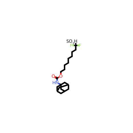 O=C(NC12CC3CC(CC(C3)C1)C2)OCCCCCCCCC(F)(F)S(=O)(=O)O